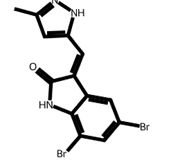 Cc1cc(C=C2C(=O)Nc3c(Br)cc(Br)cc32)[nH]n1